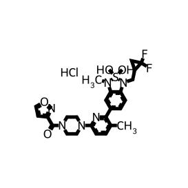 Cc1ccc(N2CCN(C(=O)c3ccon3)CC2)nc1-c1ccc2c(c1)N(C)S(O)(O)N2CC1CC1(F)F.Cl